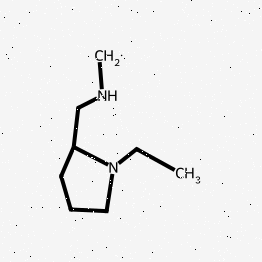 [CH2]NCC1CCCN1CC